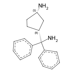 N[C@H]1CC[C@@H](C(N)(c2ccccc2)c2ccccc2)C1